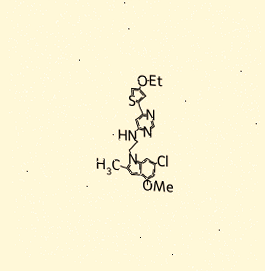 CCOc1csc(-c2cc(NCCn3c(C)cc4c(OC)cc(Cl)cc43)ncn2)c1